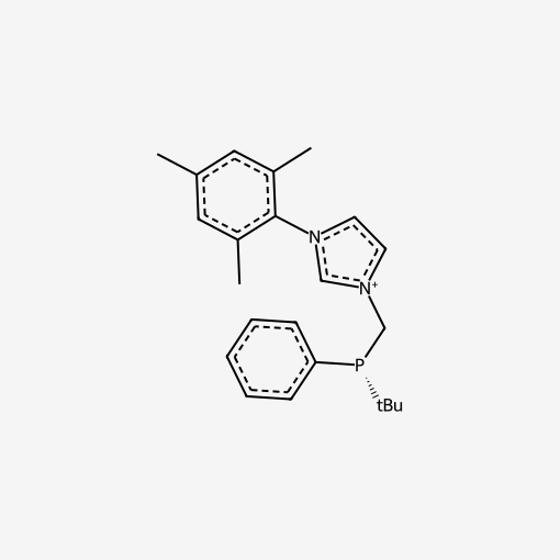 Cc1cc(C)c(-n2cc[n+](C[P@@](c3ccccc3)C(C)(C)C)c2)c(C)c1